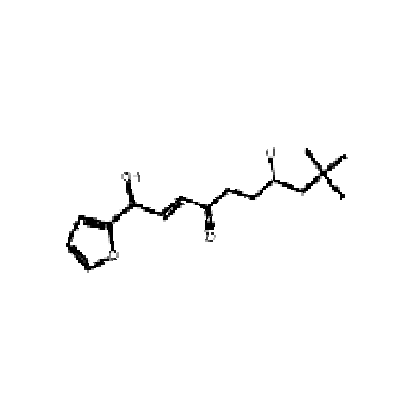 CC(C)(I)C[C@H](Cl)CCC(=O)/C=C/C(O)c1ccco1